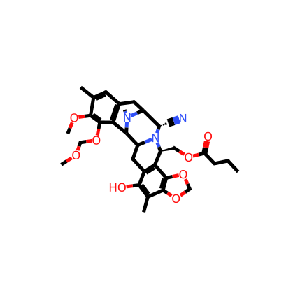 CCCC(=O)OC[C@H]1c2c(c(O)c(C)c3c2OCO3)CC2C3c4c(cc(C)c(OC)c4OCOC)CC([C@H](C#N)N21)N3C